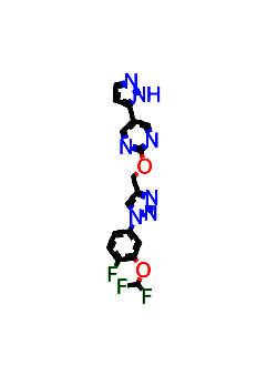 Fc1ccc(-n2cc(COc3ncc(-c4ccn[nH]4)cn3)nn2)cc1OC(F)F